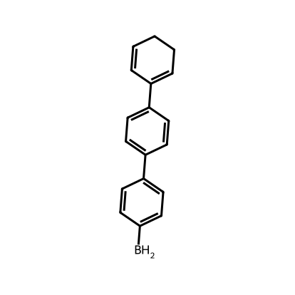 Bc1ccc(-c2ccc(C3=CCCC=C3)cc2)cc1